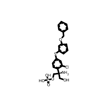 N[C@@](CO)(COP(=O)(O)O)c1ccc(Sc2cccc(OCc3ccccc3)c2)cc1Cl